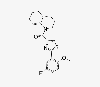 COc1ccc(F)cc1-c1nc(C(=O)N2CCCC3CCCC=C32)cs1